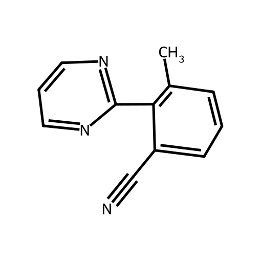 Cc1cccc(C#N)c1-c1ncccn1